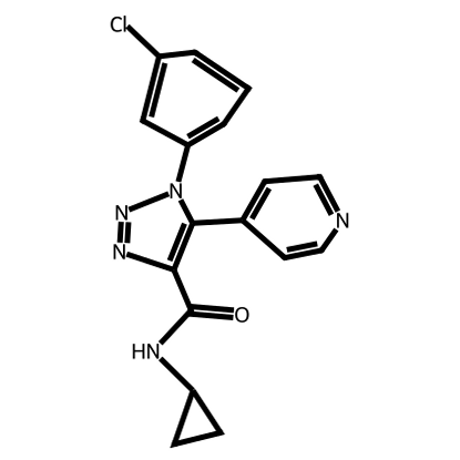 O=C(NC1CC1)c1nnn(-c2cccc(Cl)c2)c1-c1ccncc1